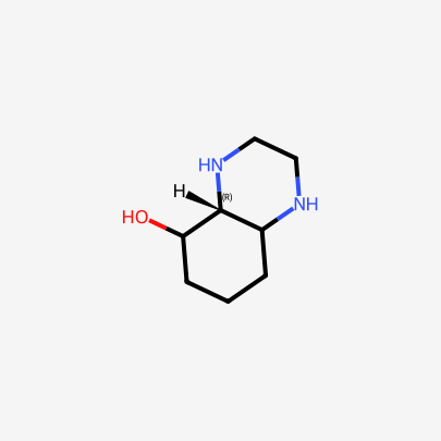 OC1CCCC2NCCN[C@@H]12